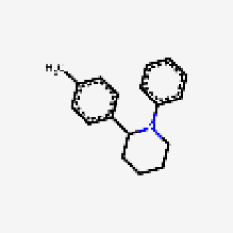 Cc1ccc(C2CCCCN2c2ccccc2)cc1